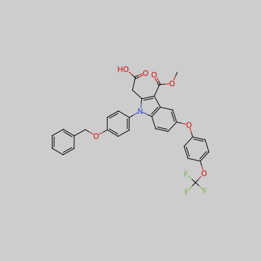 COC(=O)c1c(CC(=O)O)n(-c2ccc(OCc3ccccc3)cc2)c2ccc(Oc3ccc(OC(F)(F)F)cc3)cc12